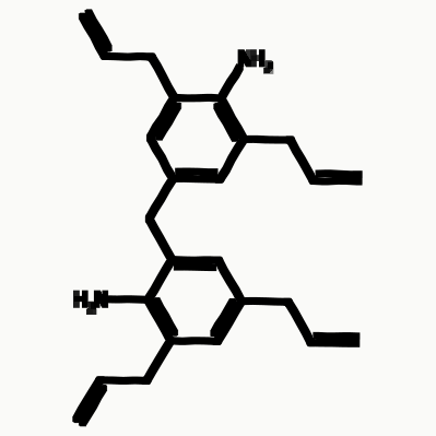 C=CCc1cc(CC=C)c(N)c(Cc2cc(CC=C)c(N)c(CC=C)c2)c1